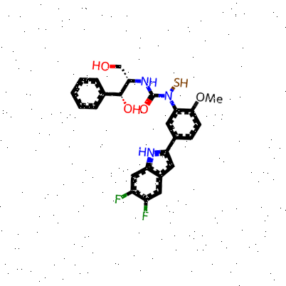 COc1ccc(-c2cc3cc(F)c(F)cc3[nH]2)cc1N(S)C(=O)N[C@@H](CO)[C@H](O)c1ccccc1